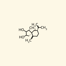 C=C(C)[C@H]1CCC(=C)[C@]2(CC(O)C(O)[C@@H]2C)C1